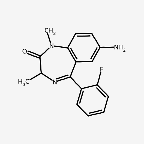 CC1N=C(c2ccccc2F)c2cc(N)ccc2N(C)C1=O